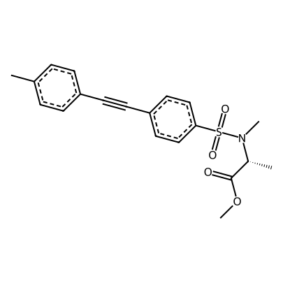 COC(=O)[C@@H](C)N(C)S(=O)(=O)c1ccc(C#Cc2ccc(C)cc2)cc1